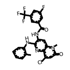 Cc1ccccc1Nc1nc2c(Cl)cc(=O)n(C)c2cc1NC(=O)c1cc(F)cc(C(F)(F)F)c1